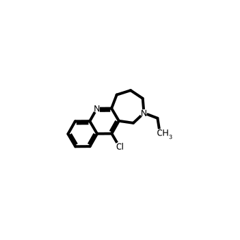 CCN1CCCc2nc3ccccc3c(Cl)c2C1